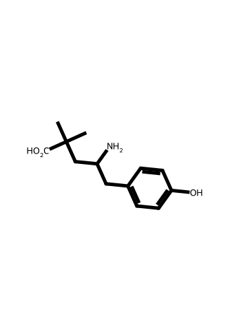 CC(C)(CC(N)Cc1ccc(O)cc1)C(=O)O